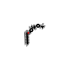 O=C(Nc1ccc(OS(=O)(=O)C(F)(F)C(F)(F)C(F)(F)C(F)(F)C(F)(F)C(F)(F)C(F)(F)C(F)(F)F)cc1)Nc1ccc(SC(F)(F)C(F)F)cc1